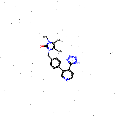 CCCc1c(C)n(CCC)c(=O)n1Cc1ccc(-c2cnccc2-c2nnn[nH]2)cc1